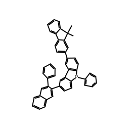 CC1(C)c2ccccc2-c2ccc(-c3ccc4c(c3)c3cc(-c5cc6ccccc6cc5-c5ccccc5)ccc3p4-c3ccccc3)cc21